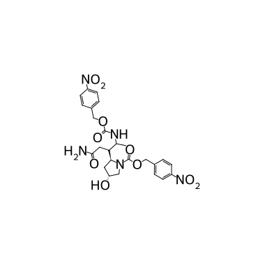 CC(NC(=O)OCc1ccc([N+](=O)[O-])cc1)C(CC(N)=O)[C@@H]1C[C@@H](O)CN1C(=O)OCc1ccc([N+](=O)[O-])cc1